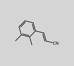 Cc1cccc(C=CC#N)c1C